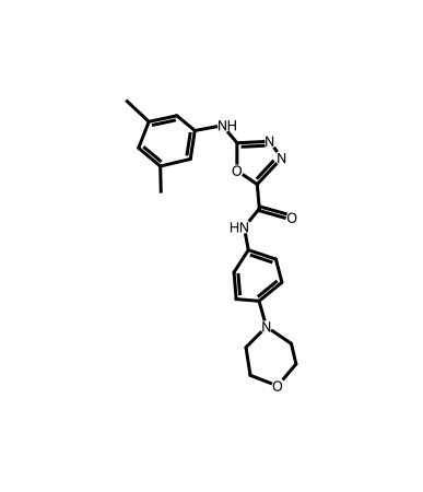 Cc1cc(C)cc(Nc2nnc(C(=O)Nc3ccc(N4CCOCC4)cc3)o2)c1